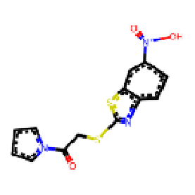 O=C(CSc1nc2ccc([N+](=O)O)cc2s1)n1cccc1